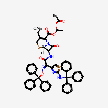 COCC1=C(C(=O)OC(C)OC(=O)C(C)(C)C)N2C(=O)C(NC(=O)/C(=N/OC(c3ccccc3)(c3ccccc3)c3ccccc3)c3csc(NC(c4ccccc4)(c4ccccc4)c4ccccc4)n3)[C@H]2SC1